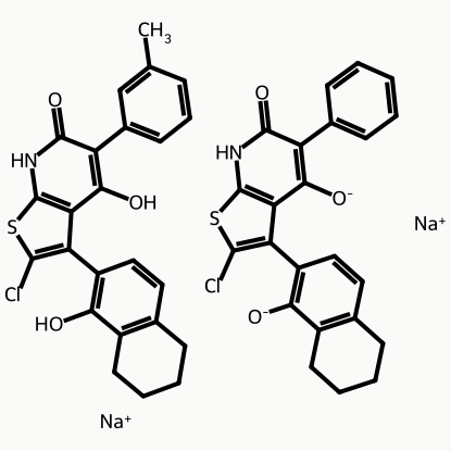 Cc1cccc(-c2c(O)c3c(-c4ccc5c(c4O)CCCC5)c(Cl)sc3[nH]c2=O)c1.O=c1[nH]c2sc(Cl)c(-c3ccc4c(c3[O-])CCCC4)c2c([O-])c1-c1ccccc1.[Na+].[Na+]